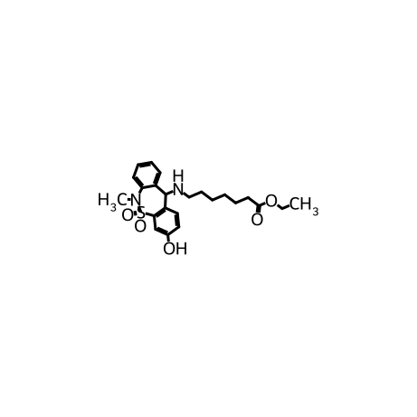 CCOC(=O)CCCCCCNC1c2ccccc2N(C)S(=O)(=O)c2cc(O)ccc21